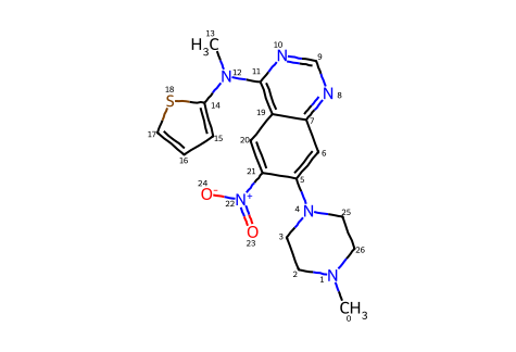 CN1CCN(c2cc3ncnc(N(C)c4cccs4)c3cc2[N+](=O)[O-])CC1